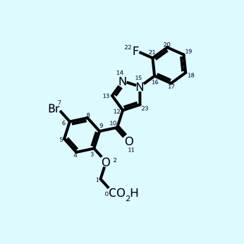 O=C(O)COc1ccc(Br)cc1C(=O)c1cnn(-c2ccccc2F)c1